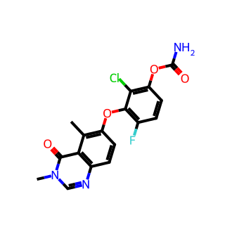 Cc1c(Oc2c(F)ccc(OC(N)=O)c2Cl)ccc2ncn(C)c(=O)c12